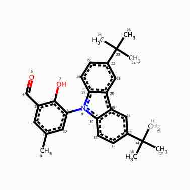 Cc1cc(C=O)c(O)c(-n2c3ccc(C(C)(C)C)cc3c3cc(C(C)(C)C)ccc32)c1